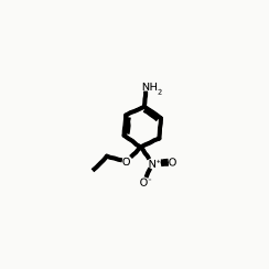 CCOC1([N+](=O)[O-])C=CC(N)=CC1